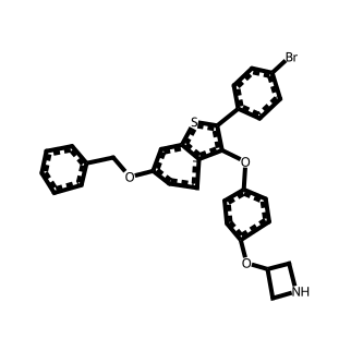 Brc1ccc(-c2sc3cc(OCc4ccccc4)ccc3c2Oc2ccc(OC3CNC3)cc2)cc1